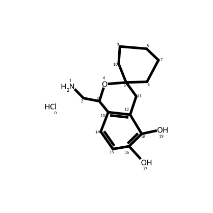 Cl.NCC1OC2(CCCCC2)Cc2c1ccc(O)c2O